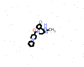 Cc1nc2c([nH]1)-c1cc(Cl)ccc1N(C(=O)C1CCN(c3ccccc3)CC1)CC2